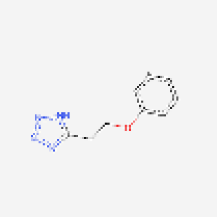 [c]1cccc(OCCc2nnn[nH]2)c1